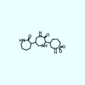 O=C1NCCCCC1C1CNC(=O)C(C2CCCS(=O)(=O)NC2)NC1